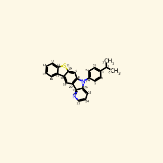 CC(C)c1ccc(-n2c3cc4sc5ccccc5c4cc3c3ncccc32)cc1